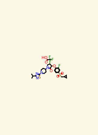 CC(C)c1nsc(N2CCC(N3CCC(Oc4ccc(S(=O)(=O)CC5CC5)cc4F)C3=O)CC2)n1.O=C(O)C(F)(F)F